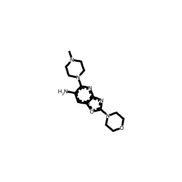 CN1CCN(c2nc3nc(N4CCOCC4)oc3cc2N)CC1